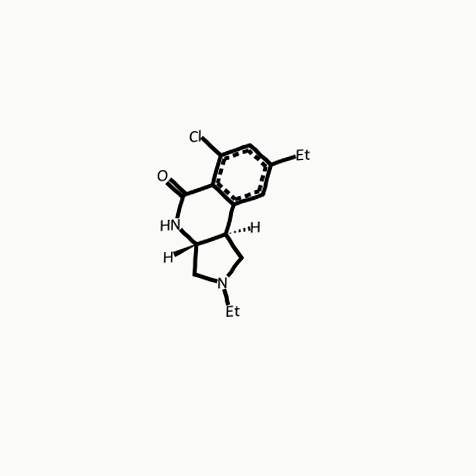 CCc1cc(Cl)c2c(c1)[C@H]1CN(CC)C[C@@H]1NC2=O